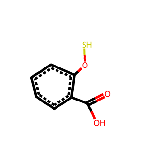 O=C(O)c1ccccc1OS